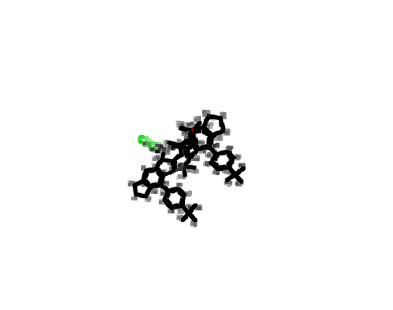 CC(C)CC1=C2c3c(cc4c(c3-c3ccc(C(C)(C)C)cc3)CCC4)[CH]1[Zr+2][CH]1C(CC(C)C)=C(c3c1cc1c(c3-c3ccc(C(C)(C)C)cc3)CCC1)[Si]2(C)C.[Cl-].[Cl-]